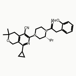 COc1ccccc1CC(=O)N1CCN(c2nc(C3CC3)c3c(c2C#N)CC(C)(C)OC3)C[C@H]1C(C)C